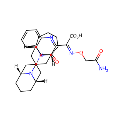 NC(=O)CO/N=C(\C(=O)O)c1nc2ccccc2n([C@H]2C[C@H]3CCC[C@@H](C2)N3C2C[C@H]3CCCC[C@@H](C2)C3)c1=O